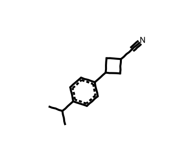 CC(C)c1ccc(C2CC(C#N)C2)cc1